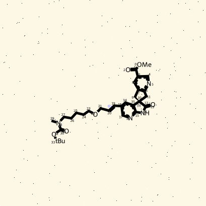 COC(=O)c1cnc2c(c1)C[C@@]1(C2)C(=O)Nc2ncc(/C=C/COCCCCCN(C)C(=O)OC(C)(C)C)cc21